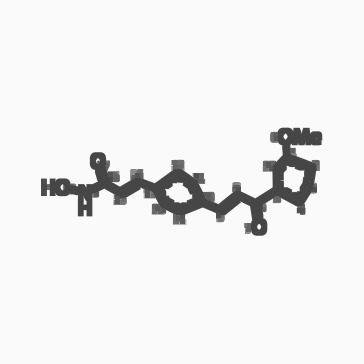 COc1cccc(C(=O)/C=C/c2ccc(/C=C/C(=O)NO)cc2)c1